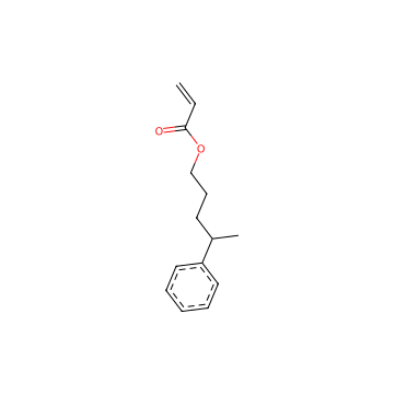 C=CC(=O)OCCCC(C)c1ccccc1